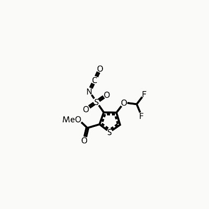 COC(=O)c1scc(OC(F)F)c1S(=O)(=O)N=C=O